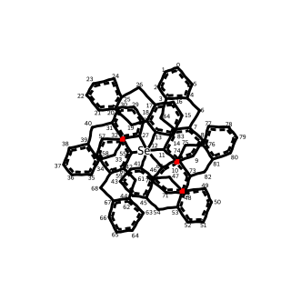 c1ccc2c(c1)Cc1cccc([Se](c3cccc4c3Cc3ccccc3C4)(c3cccc4c3Cc3ccccc3C4)(c3cccc4c3Cc3ccccc3C4)(c3cccc4c3Cc3ccccc3C4)c3cccc4c3Cc3ccccc3C4)c1C2